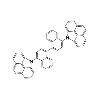 c1ccc2c(-n3c4cccc5ccc6cccc3c6c54)ccc(-c3ccc(-n4c5cccc6ccc7cccc4c7c65)c4ccccc34)c2c1